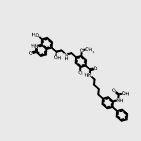 COc1cc(C(=O)NCCCCc2ccc(-c3ccccc3)c(NC(=O)O)c2)c(Cl)cc1CNC[C@@H](O)c1ccc(O)c2[nH]c(=O)ccc12